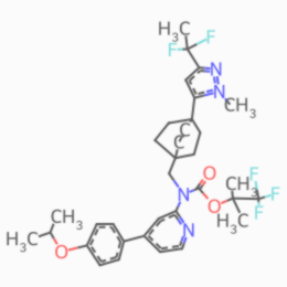 CC(C)Oc1ccc(-c2ccnc(N(CC34CCC(c5cc(C(C)(F)F)nn5C)(CC3)CC4)C(=O)OC(C)(C)C(F)(F)F)c2)cc1